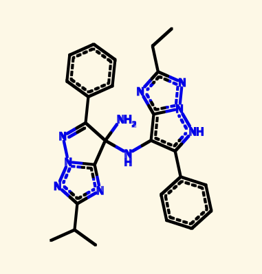 CCc1nc2c(NC3(N)C(c4ccccc4)=Nn4nc(C(C)C)nc43)c(-c3ccccc3)[nH]n2n1